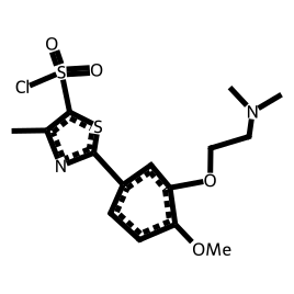 COc1ccc(-c2nc(C)c(S(=O)(=O)Cl)s2)cc1OCCN(C)C